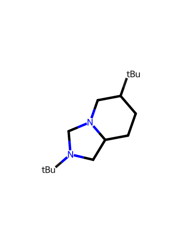 CC(C)(C)C1CCC2CN(C(C)(C)C)CN2C1